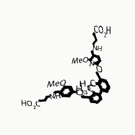 COc1cc(OCc2cccc(-c3cccc(COc4ccc(CNCCCC(=O)O)c(OC)n4)c3C)c2C)ccc1CNCCCC(=O)O